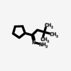 CC(C)(C)C/C(=N\N)C1CCCC1